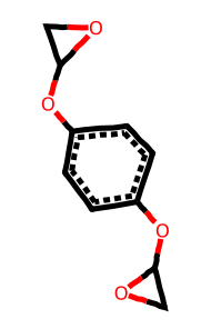 c1cc(OC2CO2)ccc1OC1CO1